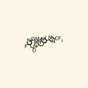 COc1cc([C@@H](C)C(=O)N2CC[C@@]3(CCc4cc(-c5cnc(C(F)(F)F)cn5)c(C)nc4N3)C2)c(F)cn1